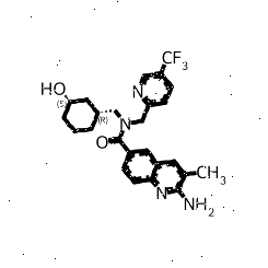 Cc1cc2cc(C(=O)N(Cc3ccc(C(F)(F)F)cn3)C[C@@H]3CCC[C@H](O)C3)ccc2nc1N